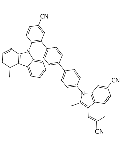 C/C(C#N)=C\c1c(C)n(-c2ccc(-c3ccc(-c4cc(C#N)ccc4-n4c5c(c6ccccc64)C(C)CC=C5)cc3)cc2)c2cc(C#N)ccc12